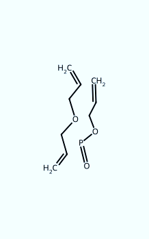 C=CCOCC=C.C=CCOP=O